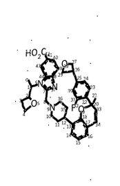 CC(C1CCO1)n1c(CN2CCC(c3cccc4c3OC(C)(c3ccc(C5COC5)cc3F)C=C4)CC2)nc2ccc(C(=O)O)cc21